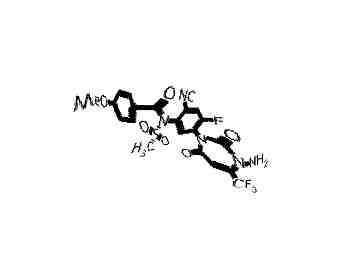 COc1ccc(C(=O)N(c2cc(-n3c(=O)cc(C(F)(F)F)n(N)c3=O)c(F)cc2C#N)S(C)(=O)=O)cc1